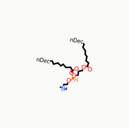 CCCCCCCCCCCCCCCCCC(=O)OCC(COPOCC[N+](C)(C)C)OC(=O)CCCCCCCCCCCCCCCCC